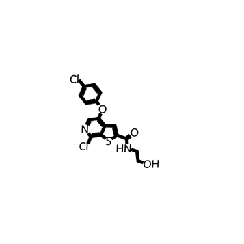 O=C(NCCO)c1cc2c(Oc3ccc(Cl)cc3)cnc(Cl)c2s1